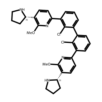 COc1nc(-c2cccc(-c3cccc(-c4ccc([C@@H]5CCCN5)c(OC)n4)c3Cl)c2Cl)ccc1[C@@H]1CCCN1